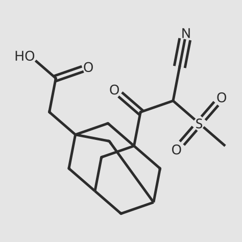 CS(=O)(=O)C(C#N)C(=O)C12CC3CC(CC(CC(=O)O)(C3)C1)C2